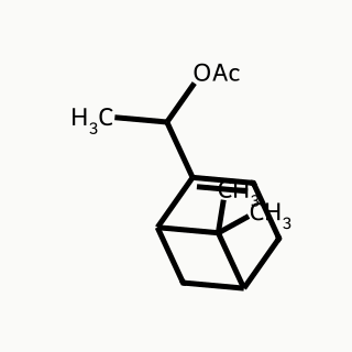 CC(=O)OC(C)C1=CCC2CC1C2(C)C